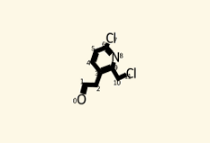 O=CCc1ccc(Cl)nc1CCl